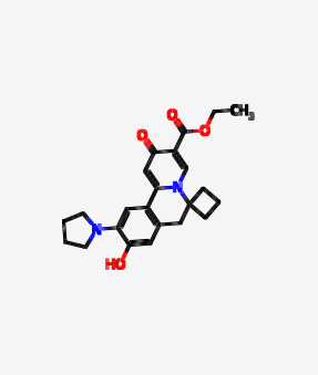 CCOC(=O)c1cn2c(cc1=O)-c1cc(N3CCCC3)c(O)cc1CC21CCC1